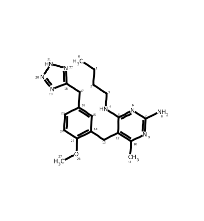 CCCCNc1nc(N)nc(C)c1Cc1cc(Cc2nn[nH]n2)ccc1OC